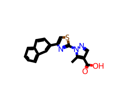 Cc1c(C(=O)O)cnn1-c1nc(-c2ccc3ccccc3c2)cs1